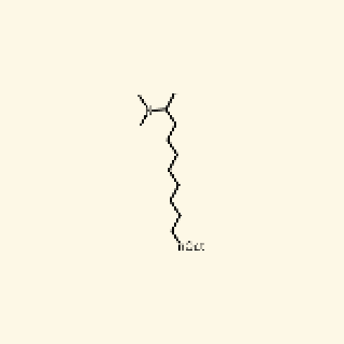 [CH2]C(CCCCCCCCCCCCCCCC)N(C)C